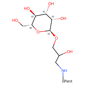 CCCCCNCC(O)CO[C@H]1O[C@H](CO)[C@@H](O)[C@H](O)[C@@H]1O